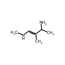 CN/C=C(\C)C(C)N